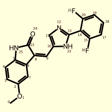 COc1ccc2c(c1)C(=Cc1cnc(-c3c(F)cccc3F)[nH]1)C(=O)N2